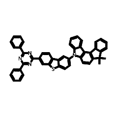 CC1(C)c2ccccc2-c2c1ccc1c2c2ccccc2n1-c1ccc2sc3cc(-c4nc(-c5ccccc5)nc(-c5ccccc5)n4)ccc3c2c1